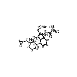 CCN(CC)C(=O)Nn1c(CSC)c2c3c(cccc31)[C@H]1CCCN(CC3CC3)[C@@H]1C2